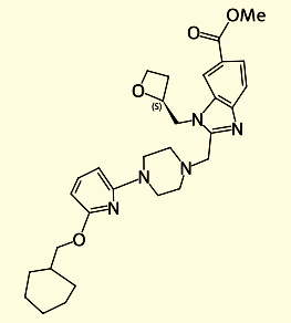 COC(=O)c1ccc2nc(CN3CCN(c4cccc(OCC5CCCCC5)n4)CC3)n(C[C@@H]3CCO3)c2c1